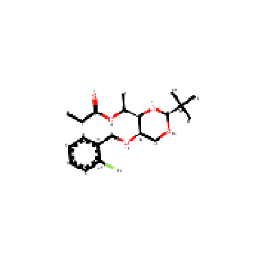 CCC(=O)OC(C)[C@H]1O[C@@H](C(C)(C)C)OC[C@H]1OCc1ccccc1F